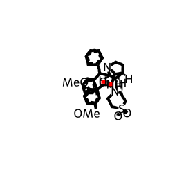 COc1ccc(OC)c(CN[C@H]2[C@H]3CCN(C[C@@H]3C(=O)N3CCS(=O)(=O)CC3)[C@H]2C(c2ccccc2)c2ccccc2)c1